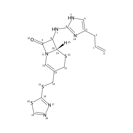 C=CCc1c[nH]c(NC2C(=O)N3C=C(CSc4nncs4)CS[C@@H]23)n1